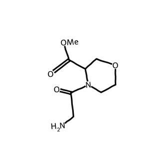 COC(=O)C1COCCN1C(=O)CN